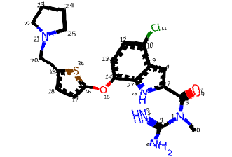 CN(C(=N)N)C(=O)c1cc2c(Cl)ccc(Oc3ccc(CN4CCCC4)s3)c2[nH]1